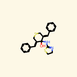 OC1(NC2=NCCS2)C(=Cc2ccccc2)CSCC1=Cc1ccccc1